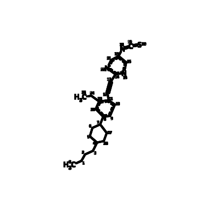 CCCCC1CCC(c2ccc(C#Cc3ncc(N=C=S)cn3)c(CC)c2)CC1